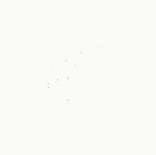 CC(c1ccc(-c2ccc(OC(=O)O)c(F)c2)cc1Cl)C(O)(c1ccc2oc(=O)n(C)c2c1)C(F)(F)F